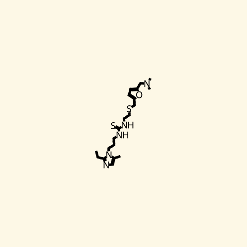 CCc1ncc(C)n1CCCNC(=S)NCCSCc1ccc(CN(C)C)o1